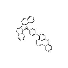 c1ccc2c(c1)Sc1ccc(-c3ccc(-n4c5c6ccccc6ccc5c5ccc6ccccc6c54)cc3)c3cccc-2c13